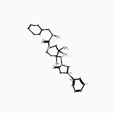 C[C@H](CC1CCCCC1)C(=O)N1CCC(O)(CN2C[C@@H](c3ccccc3)CC2=O)C(C)(C)C1